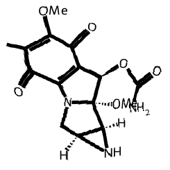 COC1=C(C)C(=O)C2=C(C1=O)[C@@H](OC(N)=O)[C@@]1(OC)[C@H]3N[C@H]3CN21